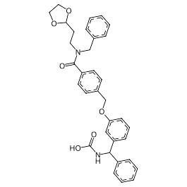 O=C(O)NC(c1ccccc1)c1cccc(OCc2ccc(C(=O)N(CCC3OCCO3)Cc3ccccc3)cc2)c1